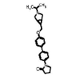 CC(C)N1CC2C(COc3ccc(-c4ccc(N5CCCC5=O)cc4)cc3)C2C1